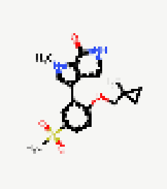 Cn1cc(-c2cc(S(C)(=O)=O)ccc2OCC2(C)CC2)c2cc[nH]c(=O)c21